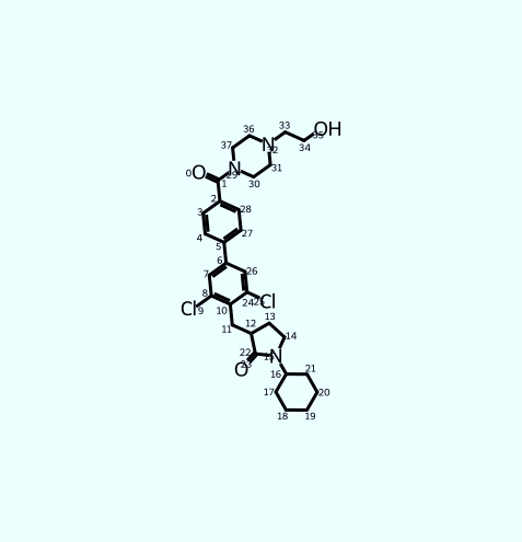 O=C(c1ccc(-c2cc(Cl)c(CC3CCN(C4CCCCC4)C3=O)c(Cl)c2)cc1)N1CCN(CCO)CC1